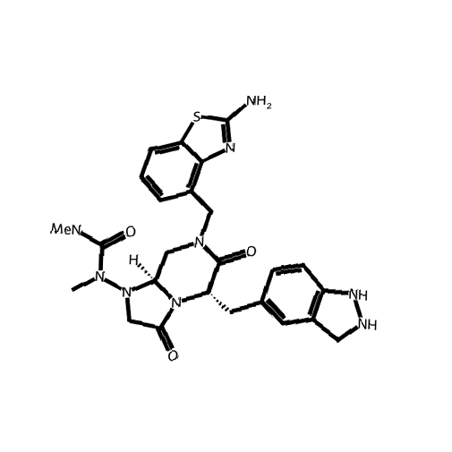 CNC(=O)N(C)N1CC(=O)N2[C@@H](Cc3ccc4c(c3)CNN4)C(=O)N(Cc3cccc4sc(N)nc34)C[C@@H]21